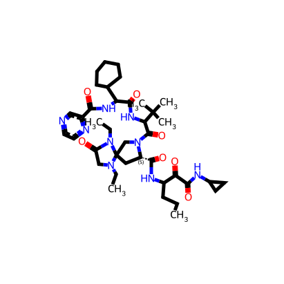 CCCC(NC(=O)[C@@H]1CC2(CN1C(=O)C(NC(=O)C(NC(=O)c1cnccn1)C1CCCCC1)C(C)(C)C)N(CC)CC(=O)N2CC)C(=O)C(=O)NC1CC1